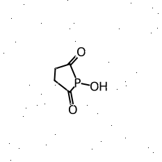 O=C1CCC(=O)P1O